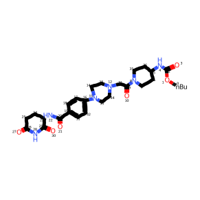 CCCCOC(=O)NC1CCN(C(=O)CN2CCN(c3ccc(C(=O)NC4CCC(=O)NC4=O)cc3)CC2)CC1